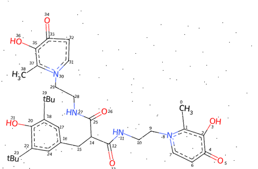 Cc1c(O)c(=O)ccn1CCNC(=O)C(Cc1cc(C(C)(C)C)c(O)c(C(C)(C)C)c1)C(=O)NCCn1ccc(=O)c(O)c1C